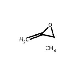 C.C=C1CO1